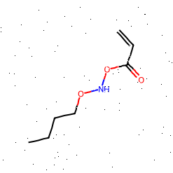 C=CC(=O)ONOCCCC